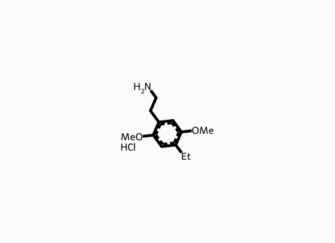 CCc1cc(OC)c(CCN)cc1OC.Cl